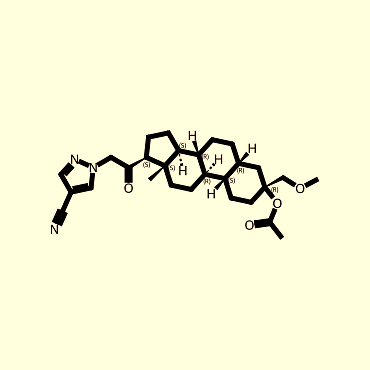 COC[C@@]1(OC(C)=O)CC[C@H]2[C@H](CC[C@@H]3[C@@H]2CC[C@]2(C)[C@@H](C(=O)Cn4cc(C#N)cn4)CC[C@@H]32)C1